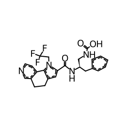 O=C(O)NC[C@@H](Cc1ccccc1)NC(=O)c1cc2c(n1CC(F)(F)F)-c1ccncc1CC2